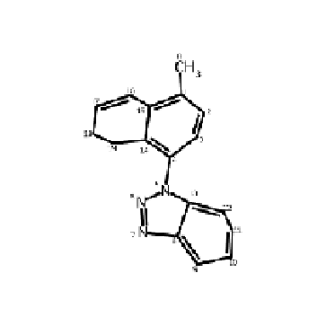 Cc1ccc(-n2nnc3ccccc32)c2c1C=CCC2